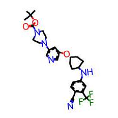 CC(C)(C)OC(=O)N1CCN(c2cncc(OC3CCC(Nc4ccc(C#N)c(C(F)(F)F)c4)CC3)c2)CC1